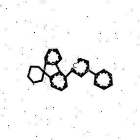 c1ccc(-c2cccc(-c3cccc4c3-c3ccccc3C43CCCCC3)c2)cc1